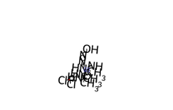 CC(C)=C(NCc1ccc(Cl)c(Cl)c1)NC(=O)/C(NCCN1CCN(CCO)CC1)=C(\C)C=N